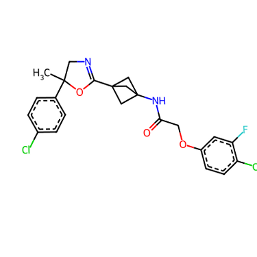 CC1(c2ccc(Cl)cc2)CN=C(C23CC(NC(=O)COc4ccc(Cl)c(F)c4)(C2)C3)O1